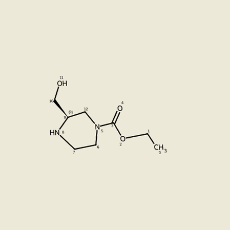 CCOC(=O)N1CCN[C@@H](CO)C1